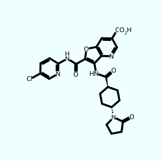 O=C(O)c1cnc2c(NC(=O)[C@H]3CC[C@H](N4CCCC4=O)CC3)c(C(=O)Nc3ccc(Cl)cn3)oc2c1